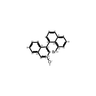 [O-][n+]1cc(-c2cccc3cccc(Br)c23)c2ccccc2c1